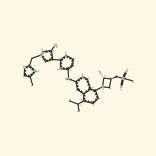 Cc1coc(Cn2cc(-c3nccc(Nc4cc5c(C(C)C)ccc(N6C[C@H](CS(C)(=O)=O)[C@H]6C)c5cn4)n3)c(Cl)n2)n1